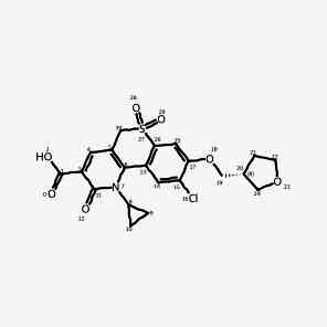 O=C(O)c1cc2c(n(C3CC3)c1=O)-c1cc(Cl)c(OC[C@@H]3CCOC3)cc1S(=O)(=O)C2